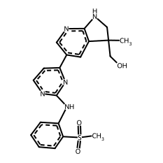 CC1(CO)CNc2ncc(-c3ccnc(Nc4ccccc4S(C)(=O)=O)n3)cc21